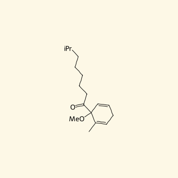 COC1(C(=O)CCCCCC(C)C)C=CCC=C1C